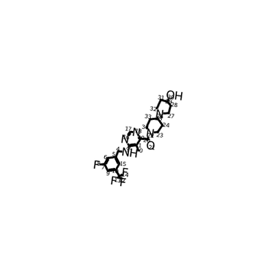 Cc1c(NCc2cc(F)cc(C(F)(F)F)c2)ncnc1C(=O)N1CCC(N2CCC(O)CC2)CC1